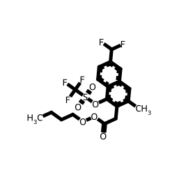 CCCCOOC(=O)Cc1c(C)cc2cc(C(F)F)ccc2c1OS(=O)(=O)C(F)(F)F